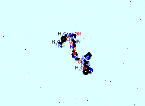 Cc1ncsc1-c1ccc([C@H](C)NC(=O)[C@@H]2C[C@@H](O)CN2C(=O)[C@@H](c2cc(OCC3CCN(CCOc4nc(N5CC6CCC(C5)N6)c5cnc6c(c5n4)C(C)c4cccc5cncc-6c45)CC3)no2)C(C)C)cc1